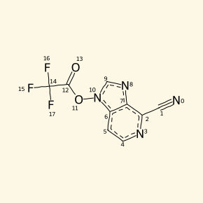 N#Cc1nccc2c1ncn2OC(=O)C(F)(F)F